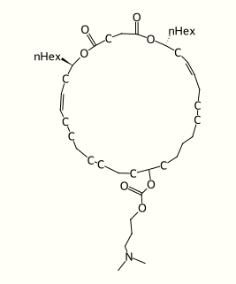 CCCCCC[C@@H]1CC=CCCCCCCCC(OC(=O)OCCCN(C)C)CCCCCCCC=CC[C@@H](CCCCCC)OC(=O)CCC(=O)O1